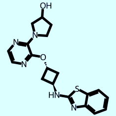 OC1CCN(c2nccnc2O[C@H]2C[C@H](Nc3nc4ccccc4s3)C2)C1